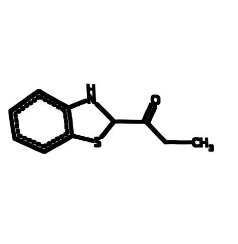 CCC(=O)C1Nc2ccccc2S1